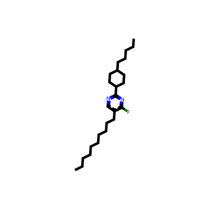 CCCCCCCCCCc1cnc(C2CCC(CCCCC)CC2)nc1F